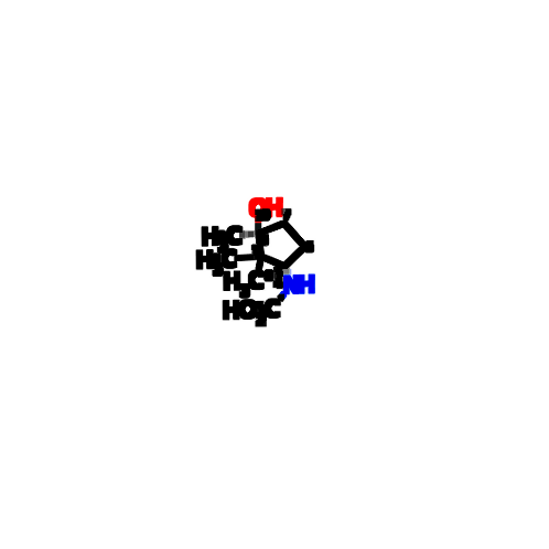 CC1(C)[C@@H](NC(=O)O)CC[C@]1(C)O